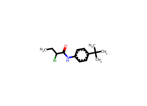 CCC(Br)C(=O)Nc1ccc(C(C)(C)C)cc1